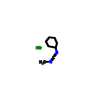 Br.CN=C=NC1CCCCC1